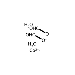 O.O.O=C[O-].O=C[O-].[Co+2]